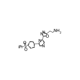 CC(C)S(=O)(=O)c1ccc(-c2cncc(-c3nnc(CCN)o3)n2)cc1